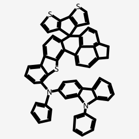 c1ccc(N(c2ccc3c4ccccc4n(-c4ccccc4)c3c2)c2cccc3c2sc2c4c(ccc23)C2(c3ccsc3-c3sccc32)c2ccc3c5c(ccc-4c25)CC3)cc1